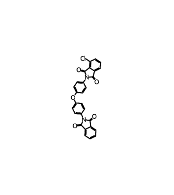 O=C1c2ccccc2C(=O)N1c1ccc(Oc2ccc(N3C(=O)c4cccc(Cl)c4C3=O)cc2)cc1